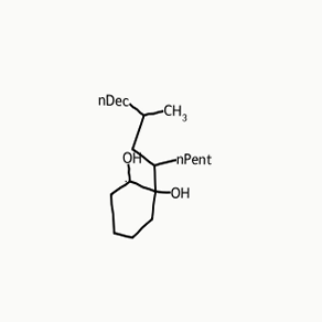 CCCCCCCCCCC(C)CC(CCCCC)C1(O)CCCC[C]1O